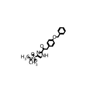 CN(C)S(=O)(=O)c1c[nH]c(C(=O)Cc2ccc(OCc3ccccc3)cc2)n1